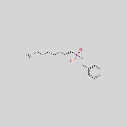 CCCCCCC=CP(=O)(O)CCc1ccccc1